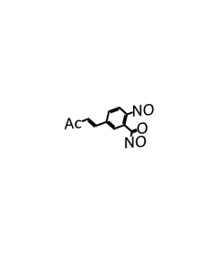 CC(=O)/C=C/c1ccc(N=O)c(C(=O)N=O)c1